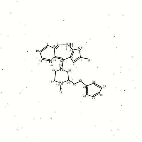 Cc1cc2c(s1)NC=c1cccnc1=C2N1CCN(C)C(CCc2ccccc2)C1